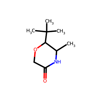 CC1NC(=O)COC1C(C)(C)C